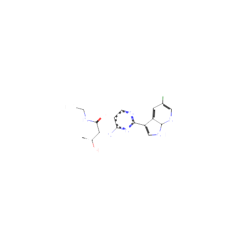 C[C@H](O)[C@@H](Nc1ccnc(C2=CNC3NC=C(Cl)C=C23)n1)C(=O)NCC(F)(F)F